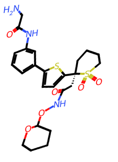 NCC(=O)Nc1cccc(-c2ccc([C@@]3(CC(=O)NOC4CCCCO4)CCCCS3(=O)=O)s2)c1